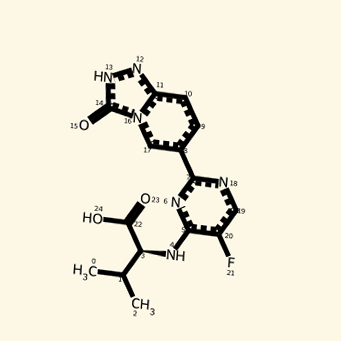 CC(C)[C@H](Nc1nc(-c2ccc3n[nH]c(=O)n3c2)ncc1F)C(=O)O